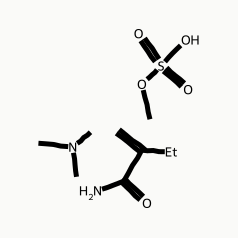 C=C(CC)C(N)=O.CN(C)C.COS(=O)(=O)O